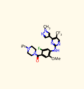 COc1cc(C(=O)N2CCN(C(C)C)CC2)c(F)cc1Nc1ncc(C(F)(F)F)c(-c2cnn(C)c2)n1